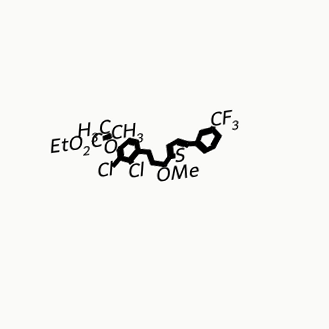 CCOC(=O)C(C)(C)Oc1ccc(CCC(OC)c2ccc(-c3cccc(C(F)(F)F)c3)s2)c(Cl)c1Cl